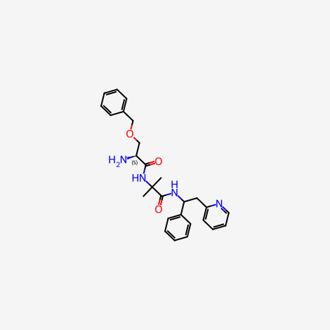 CC(C)(NC(=O)[C@@H](N)COCc1ccccc1)C(=O)NC(Cc1ccccn1)c1ccccc1